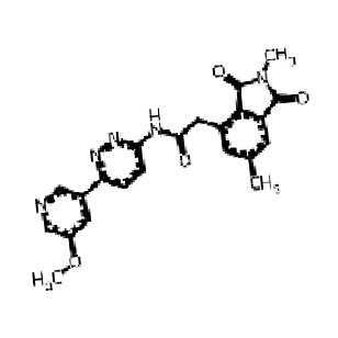 COc1cncc(-c2ccc(NC(=O)Cc3cc(C)cc4c3C(=O)N(C)C4=O)nn2)c1